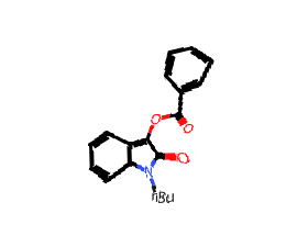 CCCCN1C(=O)C(OC(=O)c2ccccc2)=C2C=CC=CC21